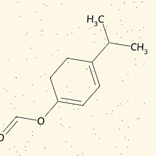 CC(C)C1=CC=C(OC=O)CC1